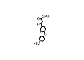 COC(=O)CNc1ccc(Oc2ccc(C(C)(C)C)cc2)nc1